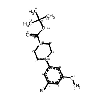 COc1cc(Br)cc(N2CCN(C(=O)OC(C)(C)C)CC2)c1